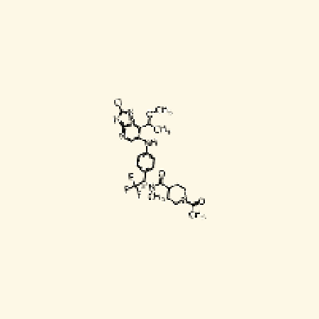 COC(C)c1c(Nc2ccc([C@H](N(C)C(=O)C3CCN(C(C)=O)CC3)C(F)(F)F)cc2)cnc2nc(Cl)nn12